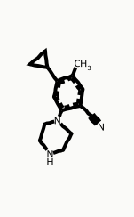 Cc1cc(C#N)c(N2CCNCC2)cc1C1CC1